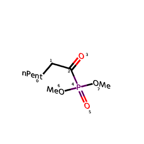 CCCCCCC(=O)P(=O)(OC)OC